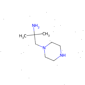 CC(C)(N)CN1CCNCC1